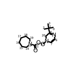 CC(C)(C)C1=NC=CN(OOC(=O)N2CCCCCC2)C1